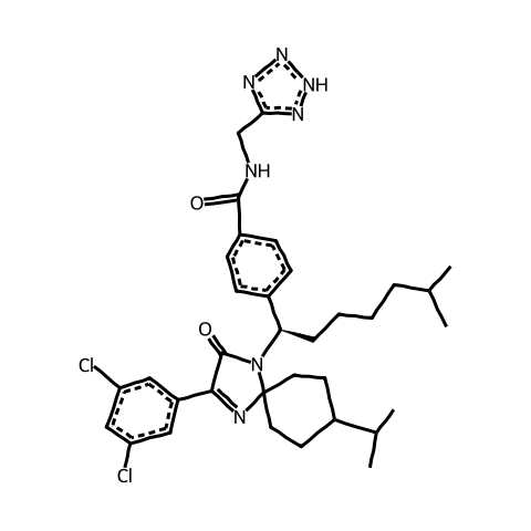 CC(C)CCCC[C@H](c1ccc(C(=O)NCc2nn[nH]n2)cc1)N1C(=O)C(c2cc(Cl)cc(Cl)c2)=NC12CCC(C(C)C)CC2